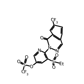 CCS(=O)(=O)c1cc(OS(=O)(=O)C(F)(F)F)cnc1-n1ncc2ccc(C(F)(F)F)cc2c1=O